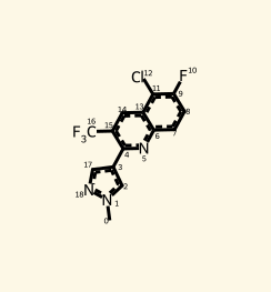 Cn1cc(-c2nc3ccc(F)c(Cl)c3cc2C(F)(F)F)cn1